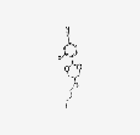 CCCCOC1COC(c2ccc(C#N)cc2F)OC1